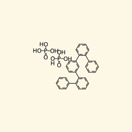 O=P(O)(O)O.O=P(O)(O)O.c1ccc(-c2ccccc2-c2cccc(-c3ccccc3-c3ccccc3)c2)cc1